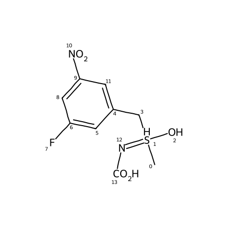 C[SH](O)(Cc1cc(F)cc([N+](=O)[O-])c1)=NC(=O)O